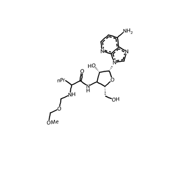 CCCC(NCOCOC)C(=O)NC1[C@@H](CO)O[C@@H](n2cnc3c(N)ccnc32)[C@H]1O